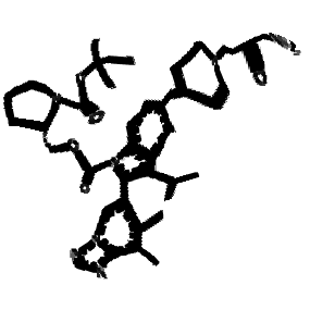 Cc1c(-c2c(C(C)C)c3cc(C4CCN(CC(N)=O)CC4)ccc3n2C(=O)OC[C@@H]2CCCN2C(=O)OC(C)(C)C)cn2ncnc2c1C